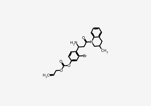 C=CCOC(=O)Oc1ccc(C(N)CC(=O)N2CC(C)Cc3ccccc32)c(Br)c1